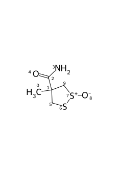 CC1(C(N)=O)CS[S+]([O-])C1